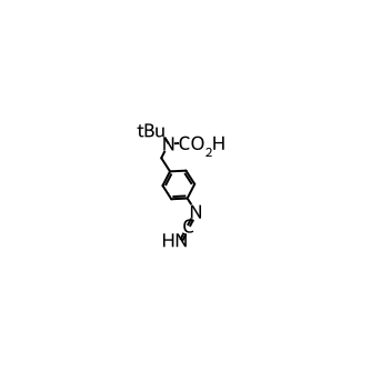 CC(C)(C)N(Cc1ccc(N=C=N)cc1)C(=O)O